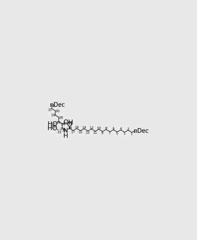 CCCCCCCCCCCCCCCCCCCCCCCCCCCC(=O)N[C@H](CO)[C@H](O)C(O)CCCCCCCCCCCCCC